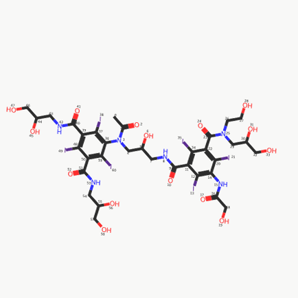 CC(=O)N(CC(O)CNC(=O)c1c(I)c(NC(=O)CO)c(I)c(C(=O)N(CCO)CC(O)CO)c1I)c1c(I)c(C(=O)NCC(O)CO)c(I)c(C(=O)NCC(O)CO)c1I